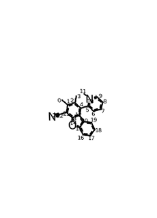 Cc1c(C)c(-c2cccc[n+]2C)c2c(oc3ccccc32)c1C#N